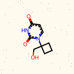 O=c1ccn(C2(CO)CCC2)c(=O)[nH]1